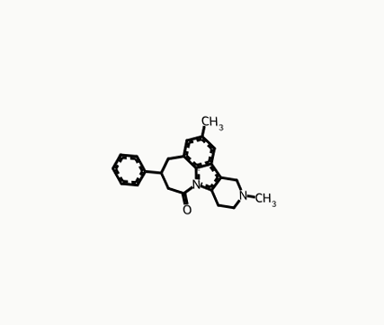 Cc1cc2c3c(c1)c1c(n3C(=O)CC(c3ccccc3)C2)CCN(C)C1